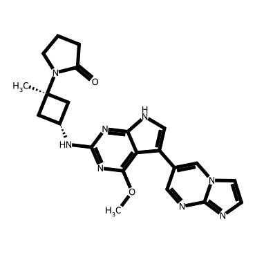 COc1nc(N[C@H]2C[C@](C)(N3CCCC3=O)C2)nc2[nH]cc(-c3cnc4nccn4c3)c12